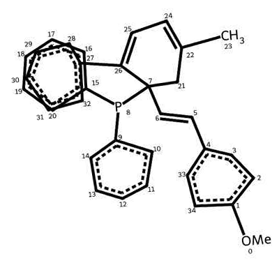 COc1ccc(C=CC2(P(c3ccccc3)c3ccccc3)CC(C)=CC=C2c2ccccc2)cc1